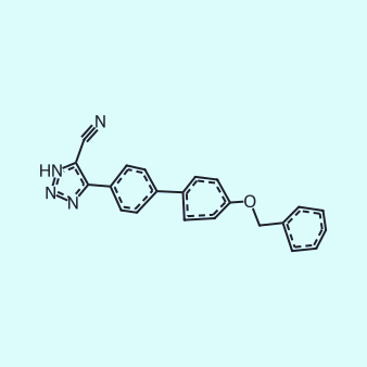 N#Cc1[nH]nnc1-c1ccc(-c2ccc(OCc3ccccc3)cc2)cc1